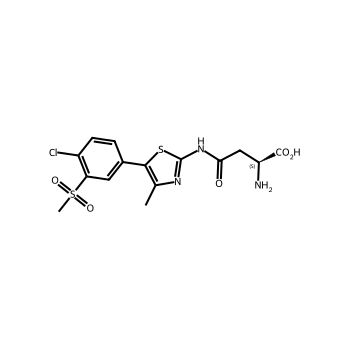 Cc1nc(NC(=O)C[C@H](N)C(=O)O)sc1-c1ccc(Cl)c(S(C)(=O)=O)c1